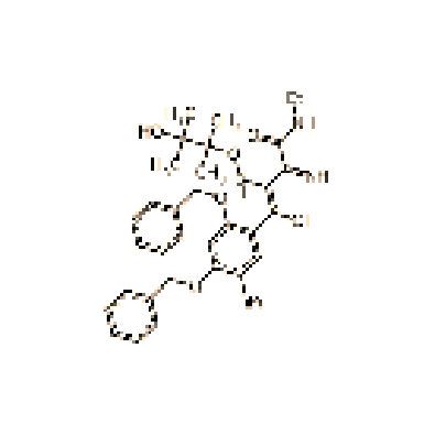 CCNC(=O)C(=N)/C(BOC(C)(C)C(C)(C)O)=C(\O)c1cc(C(C)C)c(OCc2ccccc2)cc1OCc1ccccc1